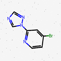 Brc1ccnc(-n2cncn2)c1